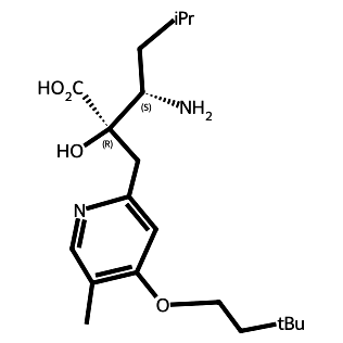 Cc1cnc(C[C@](O)(C(=O)O)[C@@H](N)CC(C)C)cc1OCCC(C)(C)C